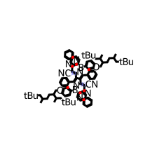 CC(CCC(COc1cccc(-c2c3/c(=C(\C#N)c4cnc5ccccc5n4)n(B(c4ccccc4)c4ccccc4)c(-c4cccc(OCC(CCC(C)CC(C)(C)C)C(C)CC(C)(C)C)c4)c3/c(=C(\C#N)c3cnc4ccccc4n3)n2B(c2ccccc2)c2ccccc2)c1)C(C)CC(C)(C)C)CC(C)(C)C